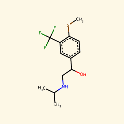 CSc1ccc(C(O)CNC(C)C)cc1C(F)(F)F